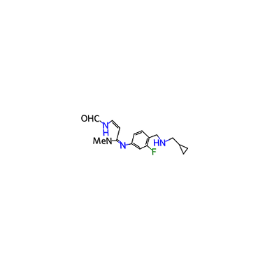 CNC(/C=C\NC=O)=N/c1ccc(CNCC2CC2)c(F)c1